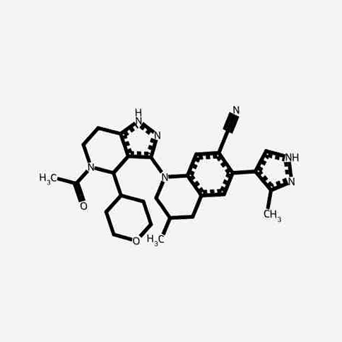 CC(=O)N1CCc2[nH]nc(N3CC(C)Cc4cc(-c5c[nH]nc5C)c(C#N)cc43)c2C1C1CCOCC1